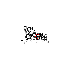 C=CC(C)/C=C\C(=C/C(=C)/C=C\Cl)OC(/C=C\C(C)C=C)=C/C(=C)/C=C\CCCC